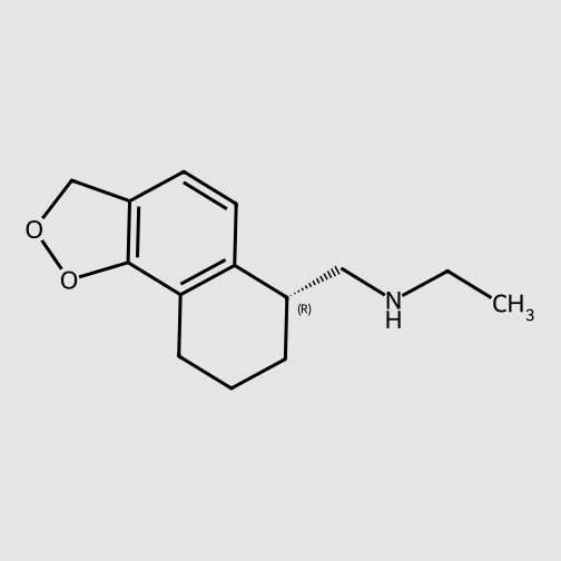 CCNC[C@@H]1CCCc2c1ccc1c2OOC1